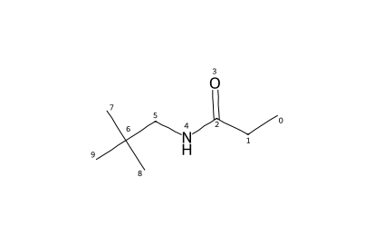 CCC(=O)NCC(C)(C)C